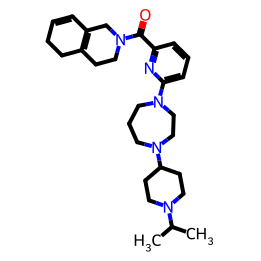 CC(C)N1CCC(N2CCCN(c3cccc(C(=O)N4CCC5=C(C=CCC5)C4)n3)CC2)CC1